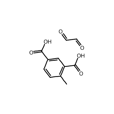 Cc1ccc(C(=O)O)cc1C(=O)O.O=CC=O